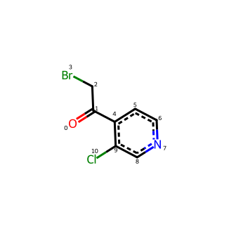 O=C(CBr)c1ccncc1Cl